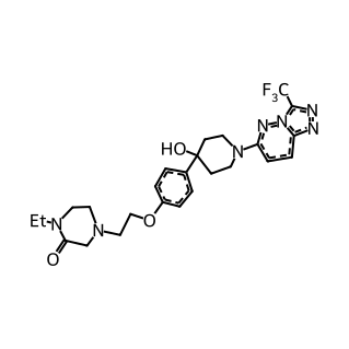 CCN1CCN(CCOc2ccc(C3(O)CCN(c4ccc5nnc(C(F)(F)F)n5n4)CC3)cc2)CC1=O